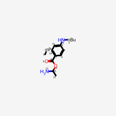 CCCC.CCCCNc1ccc(C(=O)OC(C)N)cc1